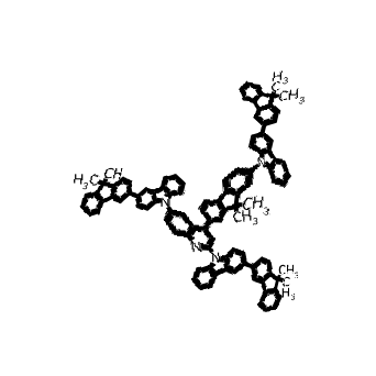 CC1(C)c2ccccc2-c2cc(-c3ccc4c(c3)c3ccccc3n4-c3ccc4c(c3)C(C)(C)c3cc(-c5cc(-n6c7ccccc7c7cc(-c8ccc9c(c8)-c8ccccc8C9(C)C)ccc76)nc6ccc(-n7c8ccccc8c8cc(-c9ccc%10c(c9)-c9ccccc9C%10(C)C)ccc87)cc56)ccc3-4)ccc21